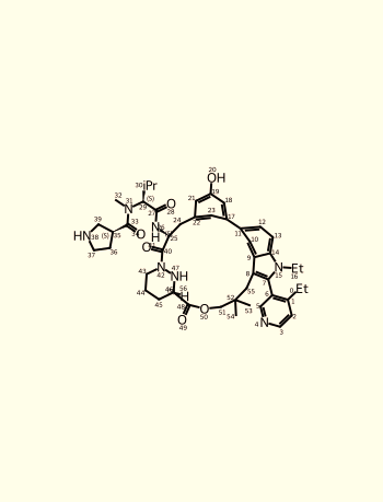 CCc1ccncc1-c1c2c3cc(ccc3n1CC)-c1cc(O)cc(c1)C[C@H](NC(=O)[C@H](C(C)C)N(C)C(=O)[C@H]1CCNC1)C(=O)N1CCC[C@H](N1)C(=O)OCC(C)(C)C2